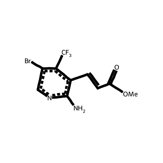 COC(=O)C=Cc1c(N)ncc(Br)c1C(F)(F)F